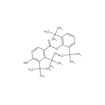 CC(C)(C)c1cccc(C(C)(C)C)c1OC(=O)c1ccc(O)c(C(C)(C)C)c1C(C)(C)C